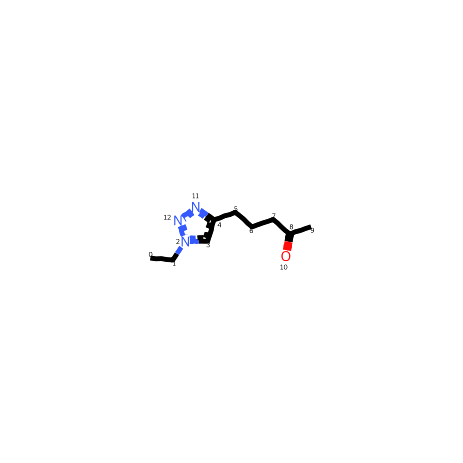 CCn1cc(CCCC(C)=O)nn1